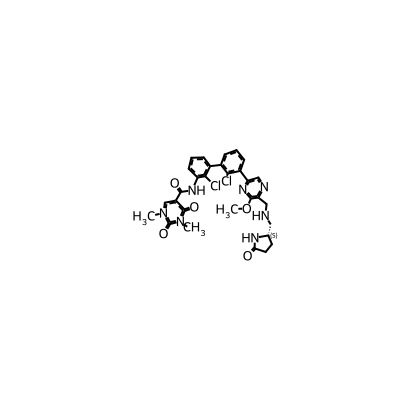 COc1nc(-c2cccc(-c3cccc(NC(=O)c4cn(C)c(=O)n(C)c4=O)c3Cl)c2Cl)cnc1CNC[C@@H]1CCC(=O)N1